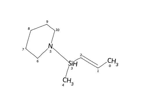 CC=C[SiH](C)N1CCCCC1